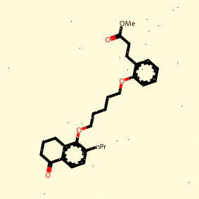 CCCc1ccc2c(c1OCCCCCOc1ccccc1CCC(=O)OC)CCCC2=O